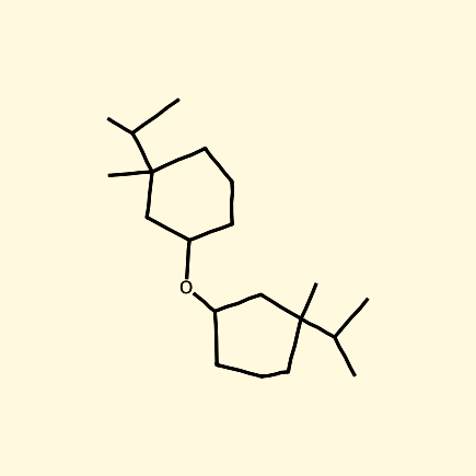 CC(C)C1(C)CCCC(OC2CCCC(C)(C(C)C)C2)C1